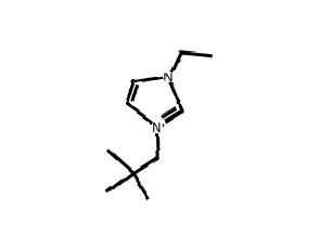 CCn1cc[n+](CC(C)(C)C)c1